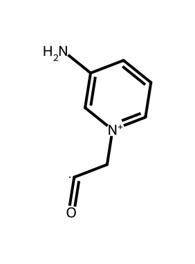 Nc1ccc[n+](C[C]=O)c1